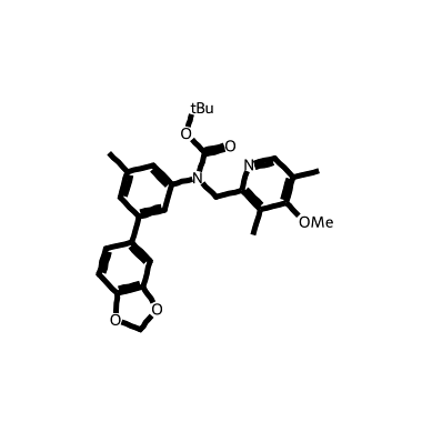 COc1c(C)cnc(CN(C(=O)OC(C)(C)C)c2cc(C)cc(-c3ccc4c(c3)OCO4)c2)c1C